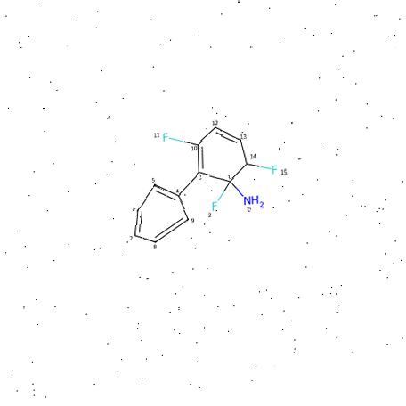 NC1(F)C(c2ccccc2)=C(F)C=CC1F